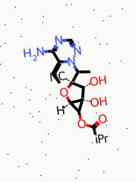 C/C=C1/C(N)=NC=NN1C(C)[C@]1(C#N)O[C@@H]2C(OC(=O)C(C)C)[C@]2(O)[C@H]1O